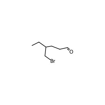 CCC(CBr)CCC=O